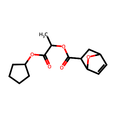 CC(OC(=O)C1CC2C=CC1O2)C(=O)OC1CCCC1